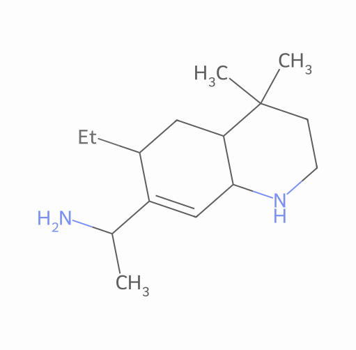 CCC1CC2C(C=C1C(C)N)NCCC2(C)C